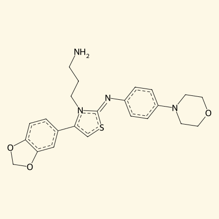 NCCCn1c(-c2ccc3c(c2)OCO3)cs/c1=N\c1ccc(N2CCOCC2)cc1